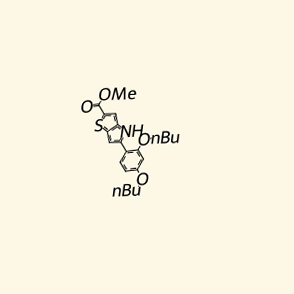 CCCCOc1ccc(-c2cc3sc(C(=O)OC)cc3[nH]2)c(OCCCC)c1